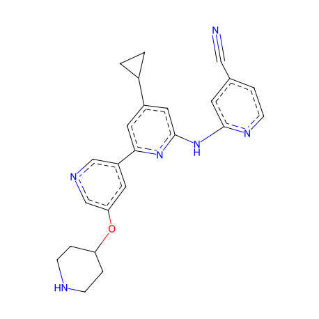 N#Cc1ccnc(Nc2cc(C3CC3)cc(-c3cncc(OC4CCNCC4)c3)n2)c1